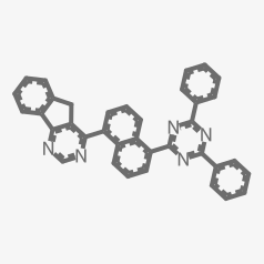 c1ccc(-c2nc(-c3ccccc3)nc(-c3cccc4c(-c5ncnc6c5Cc5ccccc5-6)cccc34)n2)cc1